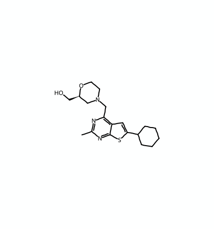 Cc1nc(CN2CCO[C@H](CO)C2)c2cc(C3CCCCC3)sc2n1